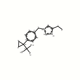 CCc1cn(Cc2ccc(C3(C(F)(F)F)CC3)cc2)nn1